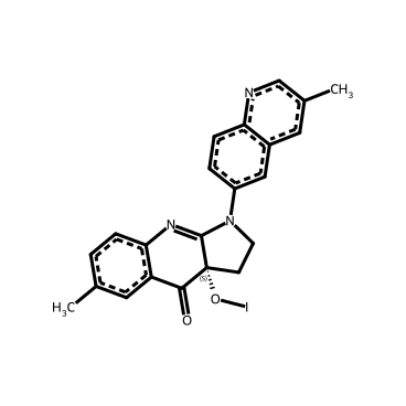 Cc1ccc2c(c1)C(=O)[C@]1(OI)CCN(c3ccc4ncc(C)cc4c3)C1=N2